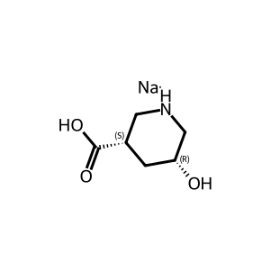 O=C(O)[C@@H]1CNC[C@H](O)C1.[Na]